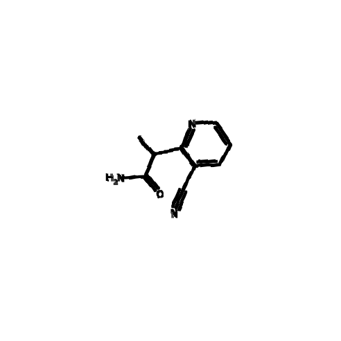 CC(C(N)=O)c1ncccc1C#N